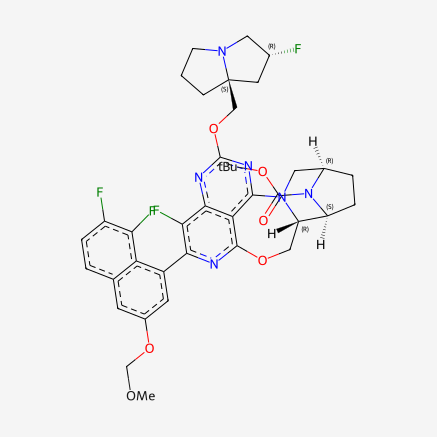 COCOc1cc(-c2nc3c4c(nc(OC[C@@]56CCCN5C[C@H](F)C6)nc4c2F)N2C[C@H]4CC[C@@H]([C@@H]2CO3)N4C(=O)OC(C)(C)C)c2c(F)c(F)ccc2c1